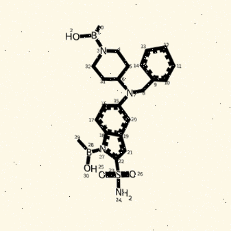 CB(O)N1CCC(N(Cc2ccccc2)c2ccc3c(c2)cc(S(N)(=O)=O)n3B(C)O)CC1